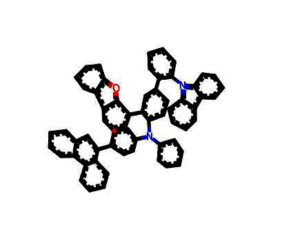 c1ccc(N(c2ccc(-c3cc4ccccc4c4ccccc34)cc2)c2ccc(-c3ccccc3-n3c4ccccc4c4ccccc43)cc2-c2cccc3c2oc2ccccc23)cc1